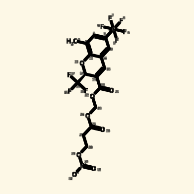 Cc1cc(S(F)(F)(F)(F)F)cc2c1O[C@H](C(F)(F)F)C(C(=O)OCOC(=O)CCO[N+](=O)[O-])=C2